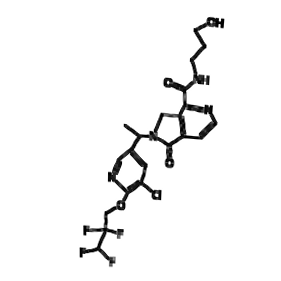 CC(c1cnc(OCC(F)(F)C(F)F)c(Cl)c1)N1Cc2c(ccnc2C(=O)NCCCO)C1=O